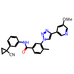 COc1cncc(-c2cn(-c3cc(C(=O)Nc4cccc(C5(C#N)CC5)c4)ccc3C)nn2)c1